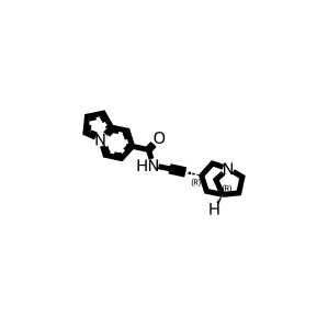 O=C(NC#C[C@H]1C[C@@H]2CCN(C1)C2)c1ccn2cccc2c1